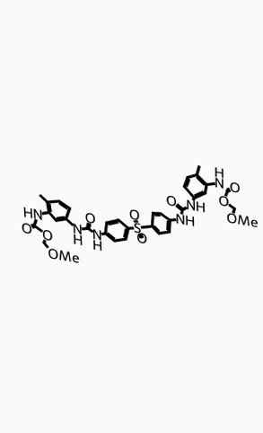 COCOC(=O)Nc1cc(NC(=O)Nc2ccc(S(=O)(=O)c3ccc(NC(=O)Nc4ccc(C)c(NC(=O)OCOC)c4)cc3)cc2)ccc1C